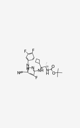 C[C@H](NC(=O)OC(C)(C)C)[C@H](Nc1nc(Nc2ccc(F)c(F)c2)c(C#N)cc1F)C1CCC1